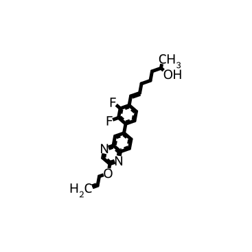 C=CCOc1cnc2cc(-c3ccc(/C=C/CCCC(C)O)c(F)c3F)ccc2n1